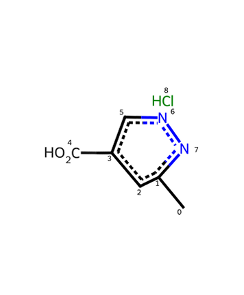 Cc1cc(C(=O)O)cnn1.Cl